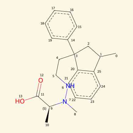 CC1CC(CCNN(C)[C@@H](C)C(=O)O)(c2ccccc2)c2ccccc21